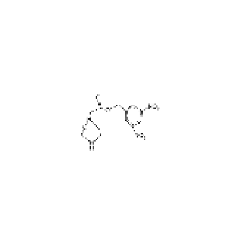 O=C(CN1CCNCC1)OCc1cc([N+](=O)[O-])cc([N+](=O)[O-])c1